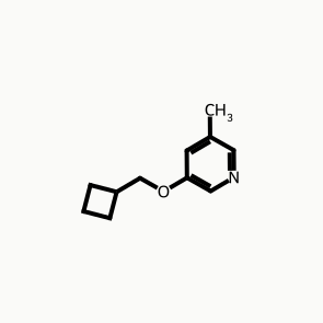 Cc1cncc(OCC2CCC2)c1